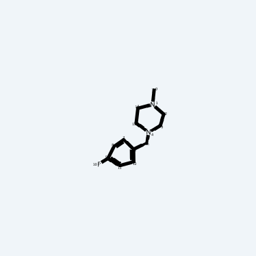 CN1CCN(Cc2ccc(F)cc2)CC1